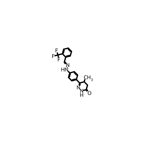 CC1CC(=O)NN=C1c1ccc(NN=Cc2ccccc2C(F)(F)F)cc1